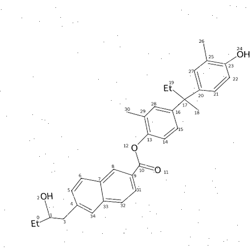 CCC(O)Cc1ccc2cc(C(=O)Oc3ccc(C(C)(CC)c4ccc(O)c(C)c4)cc3C)ccc2c1